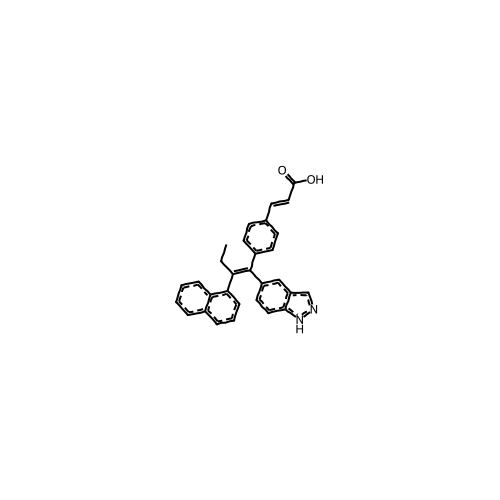 CCC(=C(c1ccc(C=CC(=O)O)cc1)c1ccc2[nH]ncc2c1)c1cccc2ccccc12